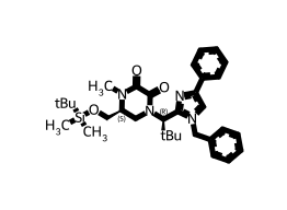 CN1C(=O)C(=O)N([C@@H](c2nc(-c3ccccc3)cn2Cc2ccccc2)C(C)(C)C)C[C@H]1CO[Si](C)(C)C(C)(C)C